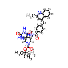 Cc1cc(Cc2ccc(C(=O)N[C@@H]3CN(C(=O)OC(C)(C)C)C[C@]34NC(=O)NC4=O)cc2)c2ccccc2n1